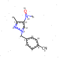 Cc1nn(Cc2ccc(C#N)cc2)cc1[N+](C)=O